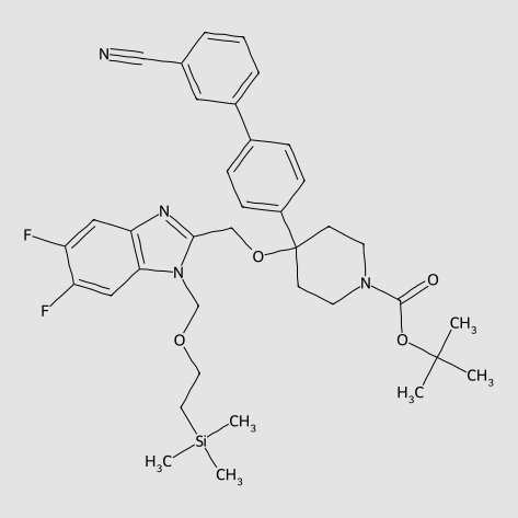 CC(C)(C)OC(=O)N1CCC(OCc2nc3cc(F)c(F)cc3n2COCC[Si](C)(C)C)(c2ccc(-c3cccc(C#N)c3)cc2)CC1